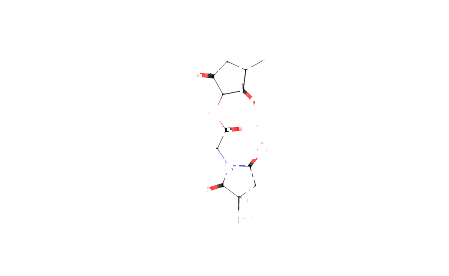 CC1CC(=O)C(OC(=O)CN2C(=O)CC(C(C)C)C2=O)C1=O